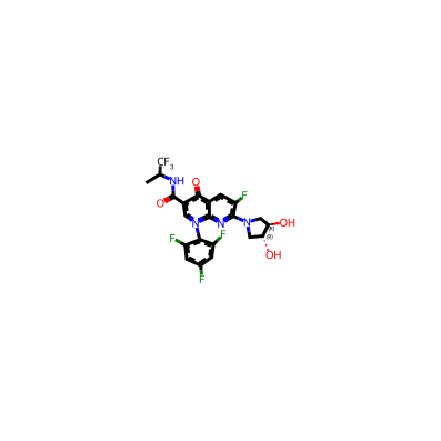 CC(NC(=O)c1cn(-c2c(F)cc(F)cc2F)c2nc(N3C[C@@H](O)[C@H](O)C3)c(F)cc2c1=O)C(F)(F)F